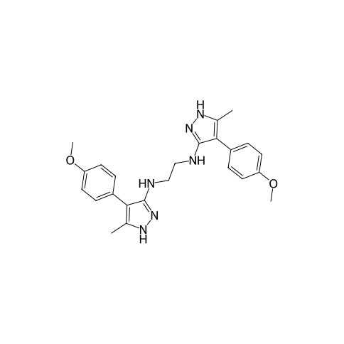 COc1ccc(-c2c(NCCNc3n[nH]c(C)c3-c3ccc(OC)cc3)n[nH]c2C)cc1